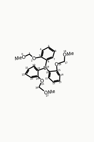 COCOc1cccc[c]1[Bi]([c]1ccccc1OCOC)[c]1ccccc1OCOC